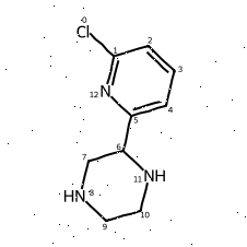 Clc1cccc(C2CNCCN2)n1